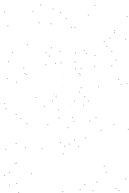 CC(C)(C)OC(=O)N1[C@@H](CF)COS1(=O)=O